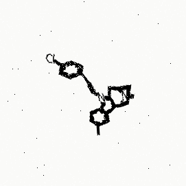 Cc1ccc2c(c1)c1c(n2C#Cc2ccc(Cl)cc2)CC2CCC1N2C